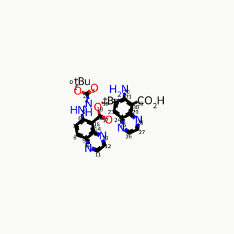 CC(C)(C)OC(=O)NNc1ccc2nccnc2c1C(=O)OC(C)(C)C.Nc1ccc2nccnc2c1C(=O)O